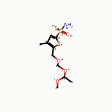 COC(C)OCOCc1sc(S(N)(=O)=S)cc1C